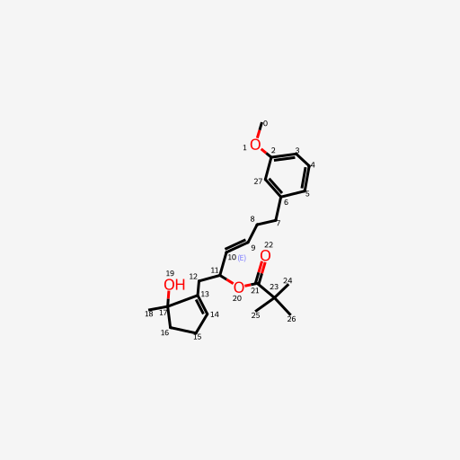 COc1cccc(CC/C=C/C(CC2=CCCC2(C)O)OC(=O)C(C)(C)C)c1